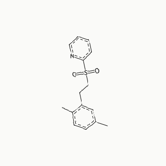 Cc1ccc(C)c(CCS(=O)(=O)c2ccccn2)c1